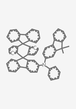 CC1(C)c2ccccc2-c2ccc(N(c3ccccc3)c3ccc4c(c3)C3(c5ccccc5-4)c4ccccc4C4(c5ccccc5-c5ccccc54)c4ccccc43)cc21